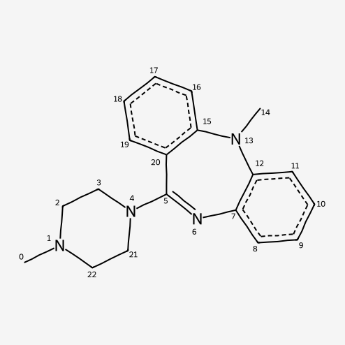 CN1CCN(C2=Nc3ccccc3N(C)c3ccccc32)CC1